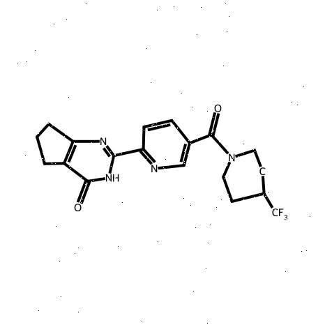 O=C(c1ccc(-c2nc3c(c(=O)[nH]2)CCC3)nc1)N1CCC(C(F)(F)F)CC1